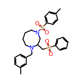 Cc1ccc(S(=O)(=O)N2CCCCN(Cc3cccc(C)c3)C(CS(=O)(=O)c3ccccc3)C2)cc1